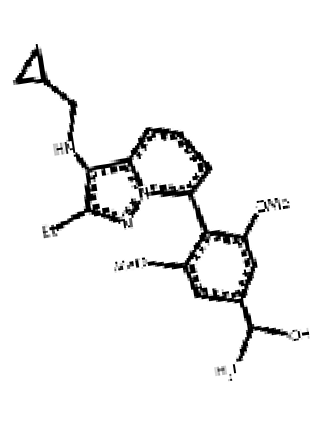 CCc1nn2c(-c3c(OC)cc(C(C)O)cc3OC)cccc2c1NCC1CC1